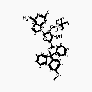 COc1ccc(C(OC[C@H]2O[C@@H](n3cnc4c(N)nc(Cl)nc43)[C@H](O[Si](C)(C)C(C)(C)C)[C@@H]2O)(c2ccccc2)c2ccccc2)cc1